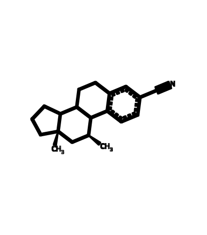 C[C@H]1C[C@]2(C)CCCC2C2CCc3cc(C#N)ccc3C21